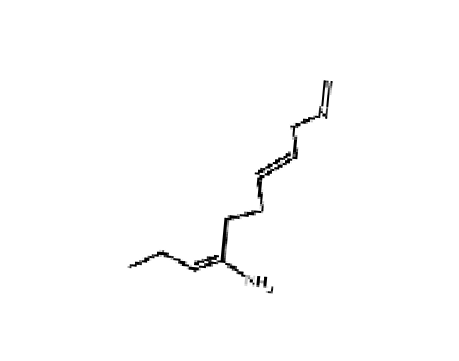 C=NC/C=C/CC/C(N)=C\CC